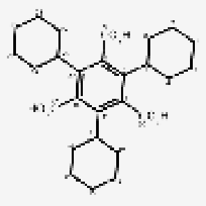 O=C(O)c1c(C2CCCCC2)c(C(=O)O)c(C2CCCCC2)c(C(=O)O)c1C1CCCCC1